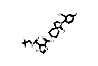 O=C(N[C@H]1CC[C@@]2(CCN(c3ccc(F)cc3Cl)C2=O)CC1)c1nc[nH]c1C(=O)NCC(F)(F)F